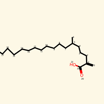 C=C(CCCC(C)CCCCCCCCCCCC)C(=O)O